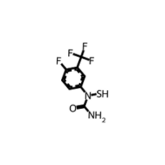 NC(=O)N(S)c1ccc(F)c(C(F)(F)F)c1